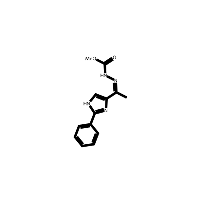 COC(=O)N/N=C(/C)c1c[nH]c(-c2ccccc2)n1